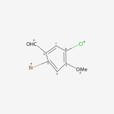 COc1cc(Br)c(C=O)cc1Cl